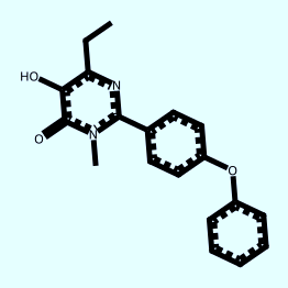 CCc1nc(-c2ccc(Oc3ccccc3)cc2)n(C)c(=O)c1O